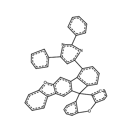 c1ccc(-c2cc(-c3cccc4c3-c3cc5oc6ccccc6c5cc3C43c4ccccc4Oc4ccccc43)nc(-c3ccccc3)n2)cc1